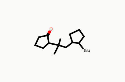 CC(C)(C)C1CCCC1CC(C)(C)C1CCCC1=O